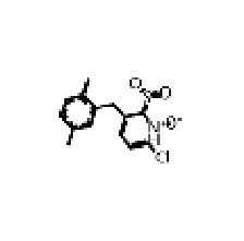 Cc1ccc(C)c(CC2=CC=C(Cl)[NH+]([O-])C2=S(=O)=O)c1